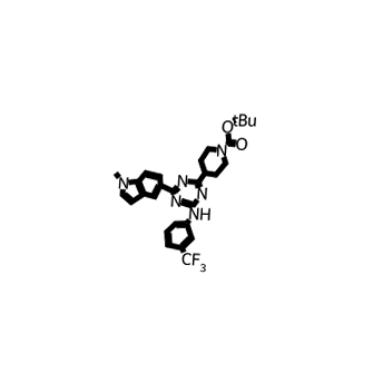 Cn1ccc2cc(-c3nc(Nc4cccc(C(F)(F)F)c4)nc(C4CCN(C(=O)OC(C)(C)C)CC4)n3)ccc21